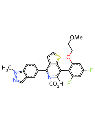 COCCOc1cc(F)cc(F)c1-c1c(C(=O)O)nc(-c2ccc3c(cnn3C)c2)c2ccsc12